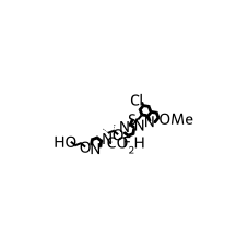 COc1cnc2c(-c3nc4cc(F)c(O[C@@H](C)[C@@H](C)N(C(=O)O)c5ccc(OCCO)nc5)nc4s3)cc(Cl)cc2c1